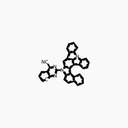 N#Cc1nc(-n2c3ccc4ccccc4c3c3c4c5ccccc5n5c6ccccc6c(cc32)c45)nc2ccccc12